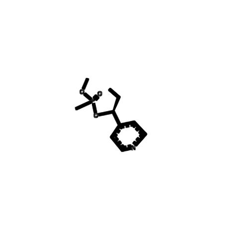 CC[C@H](OP(C)(=O)OC)c1ccncc1